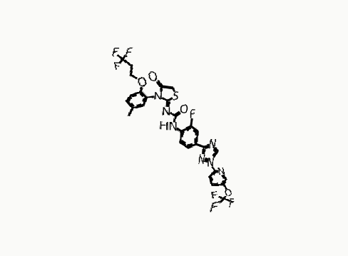 Cc1ccc(OCCC(F)(F)F)c(N2C(=O)CS/C2=N\C(=O)Nc2ccc(-c3ncn(-c4ccc(OC(F)(F)F)cn4)n3)cc2F)c1